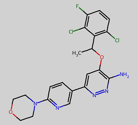 CC(Oc1cc(-c2ccc(N3CCOCC3)nc2)nnc1N)c1c(Cl)ccc(F)c1Cl